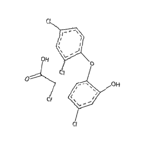 O=C(O)CCl.Oc1cc(Cl)ccc1Oc1ccc(Cl)cc1Cl